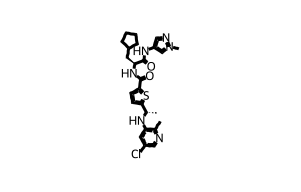 Cc1ncc(Cl)cc1N[C@@H](C)c1ccc(C(=O)N[C@@H](CC2CCCC2)C(=O)Nc2cnn(C)c2)s1